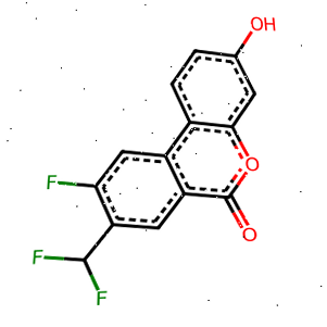 O=c1oc2cc(O)ccc2c2cc(F)c(C(F)F)cc12